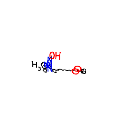 Cc1nn2c(N3CCN(CCO)CC3)cc(-c3cccc(C#CCCCCCCCOC(=O)CC45CC6CC(CC(C6)C4)C5)c3)nc2c1-c1ccccc1